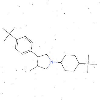 CC1CN(C2CCC(C(C)(C)C)CC2)CC1c1ccc(C(C)(C)C)cc1